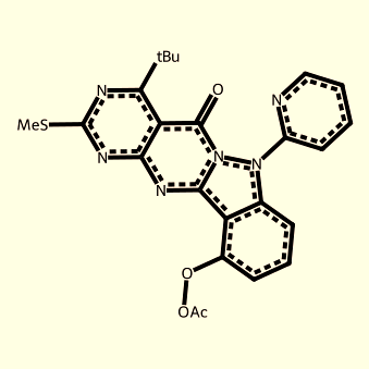 CSc1nc(C(C)(C)C)c2c(=O)n3c(nc2n1)c1c(OOC(C)=O)cccc1n3-c1ccccn1